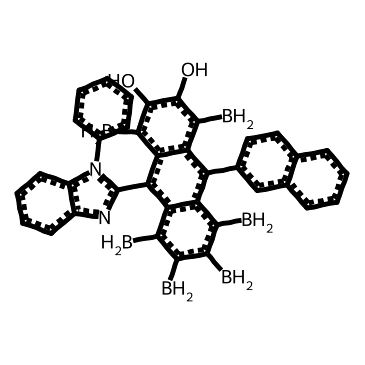 Bc1c(B)c(B)c2c(-c3nc4ccccc4n3-c3ccccc3)c3c(B)c(O)c(O)c(B)c3c(-c3ccc4ccccc4c3)c2c1B